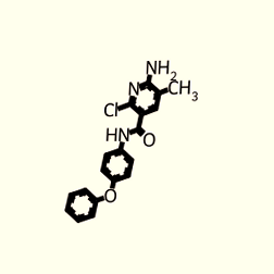 Cc1cc(C(=O)Nc2ccc(Oc3ccccc3)cc2)c(Cl)nc1N